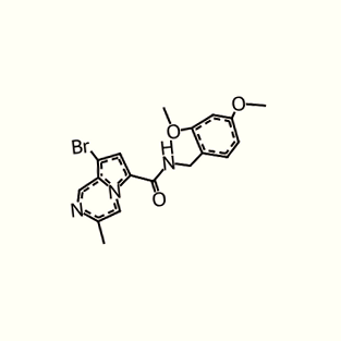 COc1ccc(CNC(=O)c2cc(Br)c3cnc(C)cn23)c(OC)c1